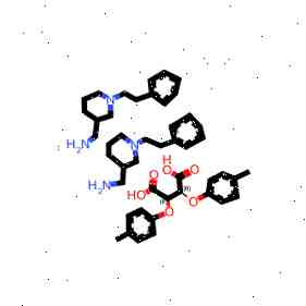 Cc1ccc(O[C@@H](C(=O)O)[C@@H](Oc2ccc(C)cc2)C(=O)O)cc1.NCC1CCCN(CCc2ccccc2)C1.NCC1CCCN(CCc2ccccc2)C1